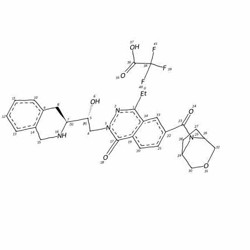 CCc1nn(C[C@@H](O)[C@@H]2Cc3ccccc3CN2)c(=O)c2ccc(C(=O)N3C4CCC3COC4)cc12.O=C(O)C(F)(F)F